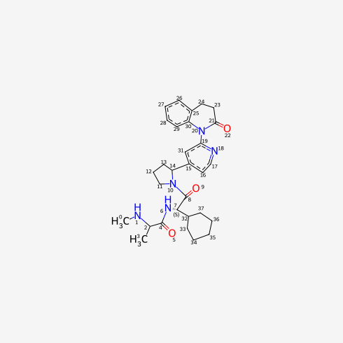 CNC(C)C(=O)N[C@H](C(=O)N1CCCC1c1ccnc(N2C(=O)CCc3ccccc32)c1)C1CCCCC1